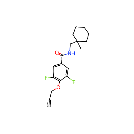 C#CCOc1c(F)cc(C(=O)NCC2(C)CCCCC2)cc1F